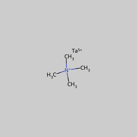 C[N+](C)(C)C.[Ta+5]